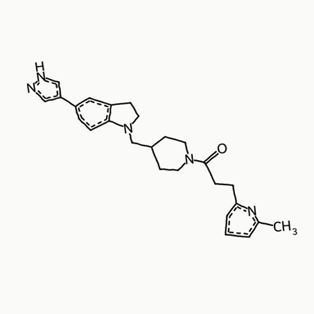 Cc1cccc(CCC(=O)N2CCC(CN3CCc4cc(-c5cn[nH]c5)ccc43)CC2)n1